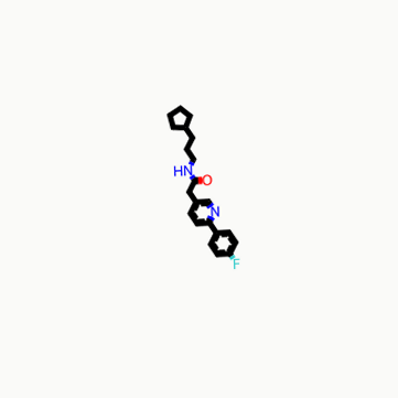 O=C(Cc1ccc(-c2ccc(F)cc2)nc1)NCCCC1CCCC1